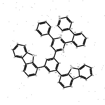 c1ccc(-c2cc(-c3cc(-c4cccc5c4oc4ccccc45)cc(-c4cccc5c4oc4ccccc45)c3)nc(-c3ccccc3-c3ccncc3)n2)cc1